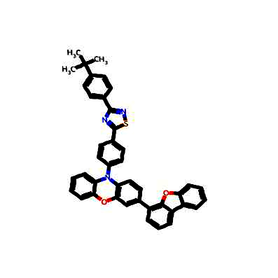 CC(C)(C)c1ccc(-c2nsc(-c3ccc(N4c5ccccc5Oc5cc(-c6cccc7c6oc6ccccc67)ccc54)cc3)n2)cc1